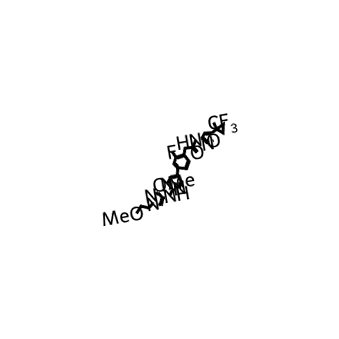 COCCn1cc(Nc2ncc(-c3ccc(CC(=O)Nc4cc(C5(C(F)(F)F)CC5)on4)c(F)c3)cn2)c(OC)n1